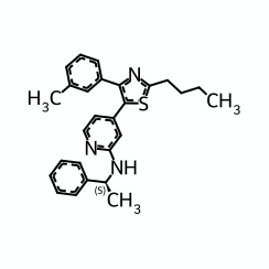 CCCCc1nc(-c2cccc(C)c2)c(-c2ccnc(N[C@@H](C)c3ccccc3)c2)s1